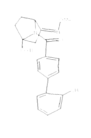 CO/N=C1/CC2(C(=O)O)CCC1N2C(=O)c1ccc(-c2ccccc2C)cc1